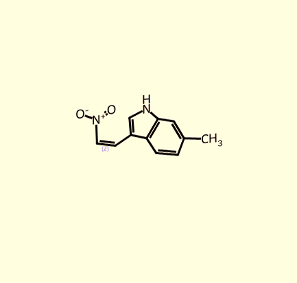 Cc1ccc2c(/C=C\[N+](=O)[O-])c[nH]c2c1